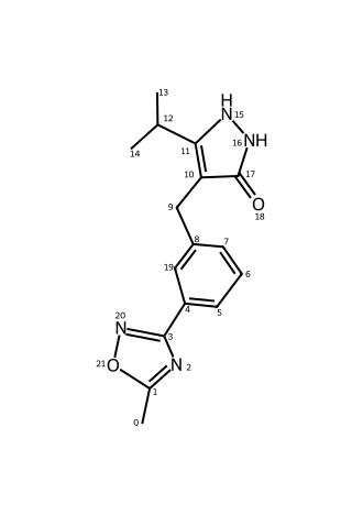 Cc1nc(-c2cccc(Cc3c(C(C)C)[nH][nH]c3=O)c2)no1